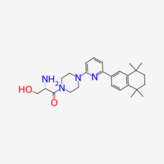 CC1(C)CCC(C)(C)c2cc(-c3cccc(N4CCN(C(=O)[C@@H](N)CO)CC4)n3)ccc21